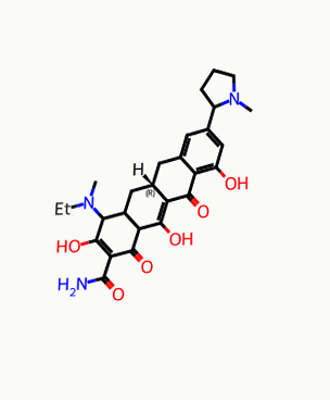 CCN(C)C1C(O)=C(C(N)=O)C(=O)C2C(O)=C3C(=O)c4c(O)cc(C5CCCN5C)cc4C[C@H]3CC21